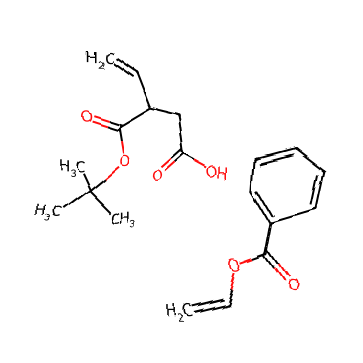 C=CC(CC(=O)O)C(=O)OC(C)(C)C.C=COC(=O)c1ccccc1